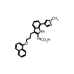 Cn1cc(-c2cccc3c(CCCOc4cccc5ccccc45)c(OC(=O)O)[nH]c23)cn1